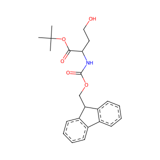 CC(C)(C)OC(=O)C(CCO)NC(=O)OCC1c2ccccc2-c2ccccc21